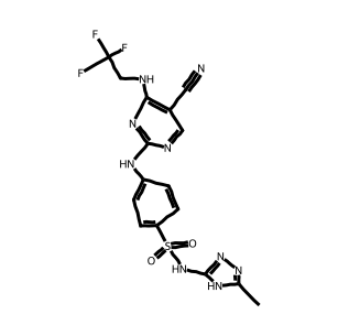 Cc1nnc(NS(=O)(=O)c2ccc(Nc3ncc(C#N)c(NCC(F)(F)F)n3)cc2)[nH]1